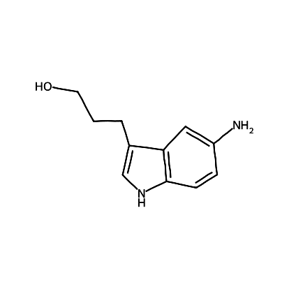 Nc1ccc2[nH]cc(CCCO)c2c1